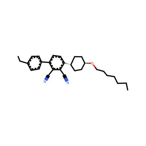 CCCCCCCO[C@H]1CC[C@H](c2ccc(-c3ccc(CC)cc3)c(C#N)c2C#N)CC1